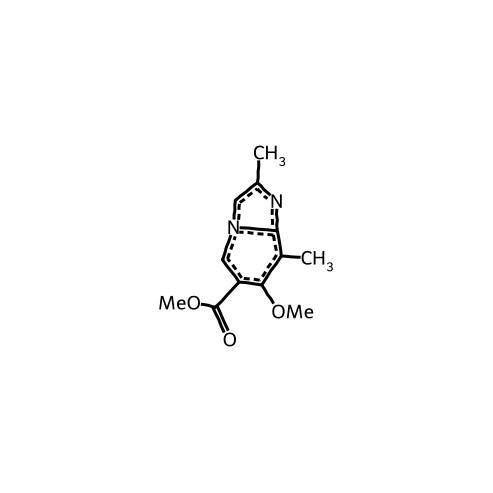 COC(=O)c1cn2cc(C)nc2c(C)c1OC